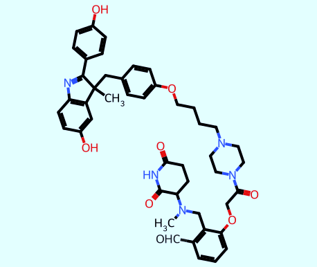 CN(Cc1c(C=O)cccc1OCC(=O)N1CCN(CCCCOc2ccc(CC3(C)C(c4ccc(O)cc4)=Nc4ccc(O)cc43)cc2)CC1)C1CCC(=O)NC1=O